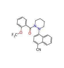 N#Cc1ccc(N2CCCCN2C(=O)c2ccccc2OC(F)(F)F)c2ccccc12